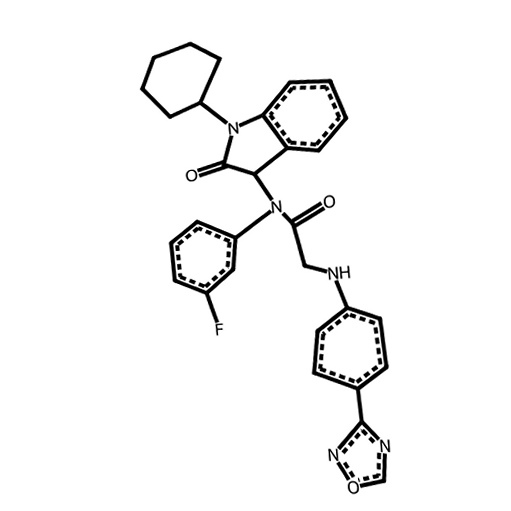 O=C1C(N(C(=O)CNc2ccc(-c3ncon3)cc2)c2cccc(F)c2)c2ccccc2N1C1CCCCC1